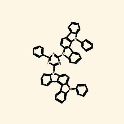 c1ccc(-c2nc(-n3c4ccccc4c4c5c6ccccc6n(-c6ccccc6)c5ccc43)nc(-n3c4ccccc4c4c3ccc3c5ccccc5n(-c5ccccc5)c34)n2)cc1